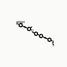 CCCCCCCOc1ccc(C#Cc2ccc(OCc3ccc(-c4ccc(C#Cc5ccc(N=C=S)cc5)cc4)cc3)c(C)c2)cc1